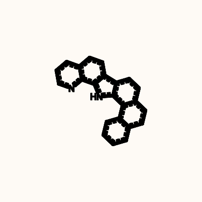 c1ccc2c(c1)ccc1ccc3c4ccc5cccnc5c4[nH]c3c12